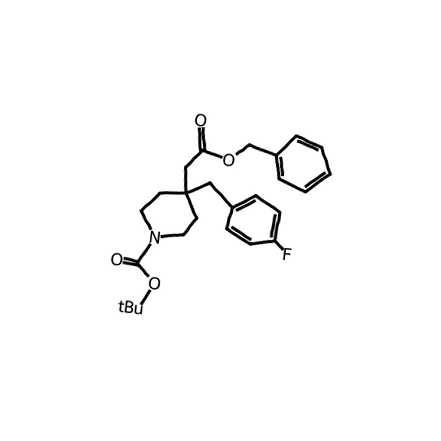 CC(C)(C)OC(=O)N1CCC(CC(=O)OCc2ccccc2)(Cc2ccc(F)cc2)CC1